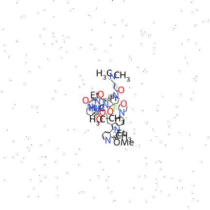 CC[C@H](NC(=O)[C@H](C(C)C)N(C)C(=O)C1(F)CCN(C(=O)/C=C/CN(C)C)CC1)C(=O)N1CCC[C@@H](C(=O)OCC(C)(C)Cc2c(-c3cccnc3[C@H](C)OC)n(CC)c3ccc(N4CCOCC4)cc23)N1